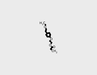 C=CC(=O)OCCOc1ccc(C=COCC)cc1